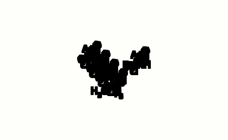 CC(=O)N(c1ccc(F)cc1)c1cc(NC(=O)Cc2cccc(C)c2C)ccn1.CC(=O)N(c1ccccc1)c1cc(NC(=O)Cc2c(Cl)cccc2Cl)ccn1.CC(=O)N(c1ccccc1)c1cc(NC(=O)Cc2c(F)cccc2Cl)ccn1.CC(=O)N(c1ccccc1)c1cc(NC(=O)Cc2ccc(F)cc2Cl)ccn1.CC(=O)N(c1ccccc1)c1cc(NC(=O)Cc2ccccc2Cl)ccn1